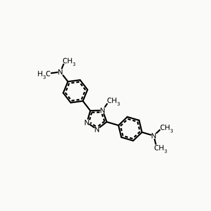 CN(C)c1ccc(-c2nnc(-c3ccc(N(C)C)cc3)n2C)cc1